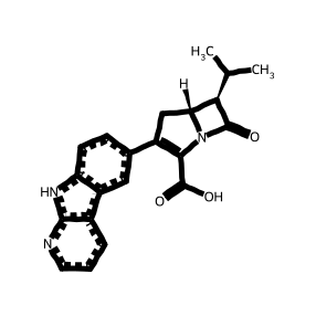 CC(C)[C@H]1C(=O)N2C(C(=O)O)=C(c3ccc4[nH]c5ncccc5c4c3)C[C@H]12